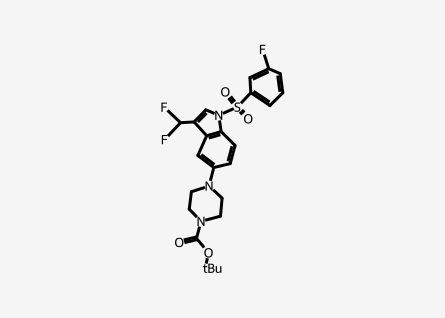 CC(C)(C)OC(=O)N1CCN(c2ccc3c(c2)c(C(F)F)cn3S(=O)(=O)c2cccc(F)c2)CC1